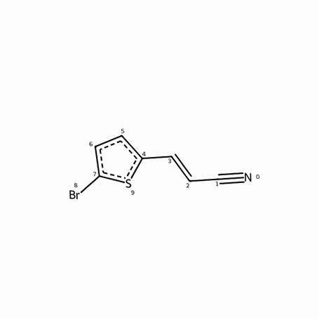 N#C/C=C/c1ccc(Br)s1